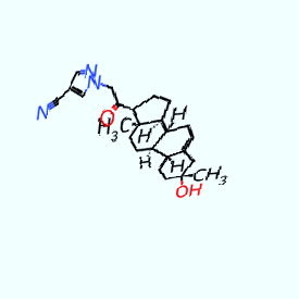 C[C@@]1(O)CC[C@H]2C(=CC[C@@H]3[C@@H]2CC[C@]2(C)[C@@H](C(=O)Cn4cc(C#N)cn4)CC[C@@H]32)C1